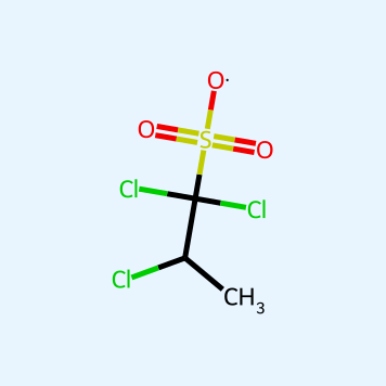 CC(Cl)C(Cl)(Cl)S([O])(=O)=O